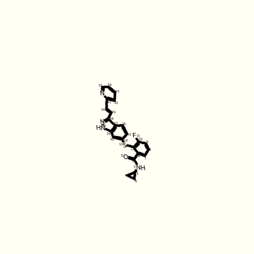 O=C(NC1CC1)c1cccc(F)c1Sc1ccc2c(/C=C/c3ccccn3)n[nH]c2c1